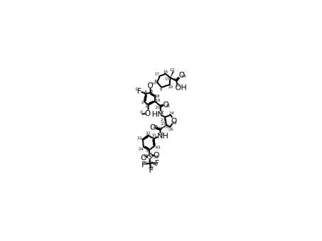 COc1cc(F)c(O[C@H]2CC[C@@](C)(C(=O)O)CC2)cc1C(=O)NC1COC[C@H]1C(=O)Nc1cccc(S(=O)(=O)C(F)(F)F)c1